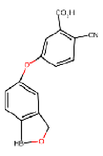 N#Cc1ccc(Oc2ccc3c(c2)COB3)cc1C(=O)O